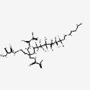 C=C(C)C(=O)OCC(CCOC(=O)C(=C)CO)(CCC(F)(F)C(F)(F)C(F)(F)C(F)(F)C(F)(F)C(F)(F)CCCCCCC)COC(=O)C(=C)C